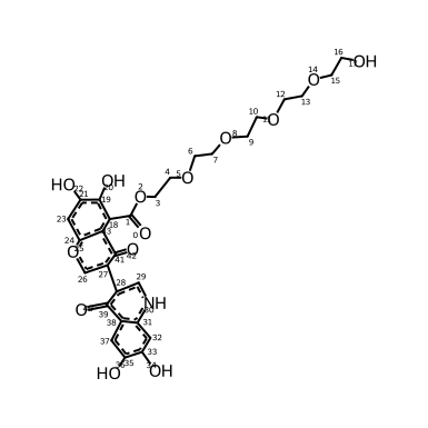 O=C(OCCOCCOCCOCCOCCO)c1c(O)c(O)cc2occ(-c3c[nH]c4cc(O)c(O)cc4c3=O)c(=O)c12